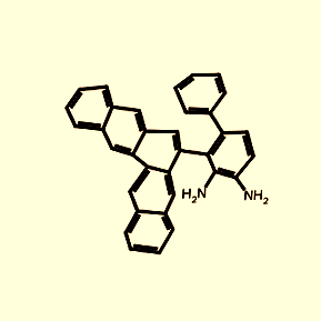 Nc1ccc(-c2ccccc2)c(-c2cc3cc4ccccc4cc3c3cc4ccccc4cc23)c1N